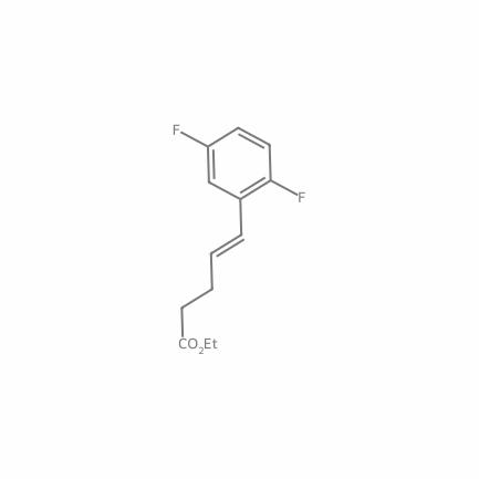 CCOC(=O)CC/C=C/c1cc(F)ccc1F